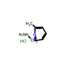 CNC(C)=O.Cc1ccccn1.Cl